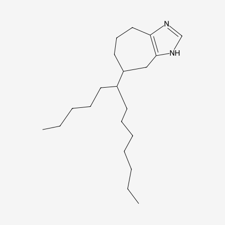 CCCCCCCC(CCCCC)C1CCCc2nc[nH]c2C1